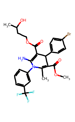 COC(=O)C1=C(C)N(c2cccc(C(F)(F)F)c2)C(N)=C(C(=O)OCCC(C)O)C1c1ccc(Br)cc1